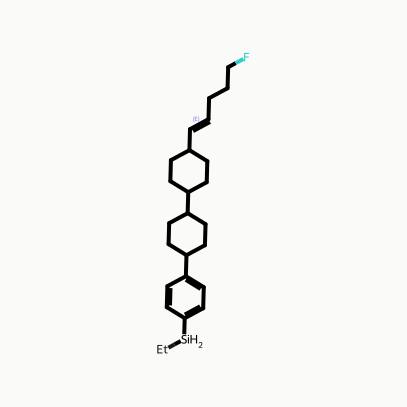 CC[SiH2]c1ccc(C2CCC(C3CCC(/C=C/CCCF)CC3)CC2)cc1